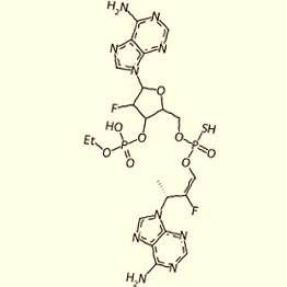 CCOP(=O)(O)OC1C(COP(=O)(S)O/C=C(/F)[C@@H](C)n2cnc3c(N)ncnc32)OC(n2cnc3c(N)ncnc32)C1F